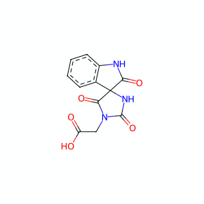 O=C(O)CN1C(=O)NC2(C(=O)Nc3ccccc32)C1=O